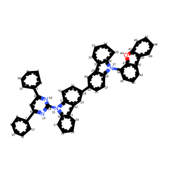 c1ccc(-c2cc(-c3ccccc3)nc(-n3c4ccccc4c4cc(-c5ccc6c(c5)c5ccccc5n6-c5cccc6c5oc5ccccc56)ccc43)n2)cc1